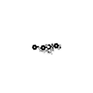 CC(C)CC([C@H](O)[C@H](Cc1ccc(OCc2ccccc2)cc1)N(N)C(=O)O)S(=O)(=O)c1ccc2c(c1)OCO2